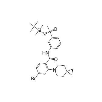 CC(C)(C)[Si](C)(C)N=S(C)(=O)c1cccc(NC(=O)c2ccc(Br)cc2N2CCC3(CC2)CC3)c1